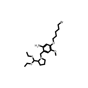 CCSC(SCC)C1CCCN1Cc1cc(OC)c(OCCCCCBr)cc1N